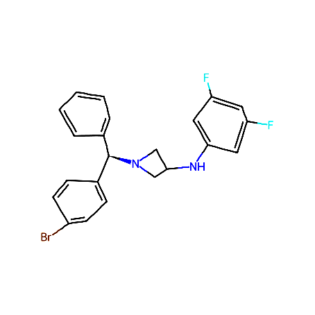 Fc1cc(F)cc(NC2CN([C@H](c3ccccc3)c3ccc(Br)cc3)C2)c1